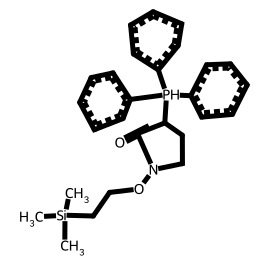 C[Si](C)(C)CCON1CCC([PH](c2ccccc2)(c2ccccc2)c2ccccc2)C1=O